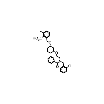 Cc1cccc(CO[C@@H]2CCC[C@H](OCCN(Cc3ccccc3Cl)C(=O)c3ccccc3)C2)c1C(=O)O